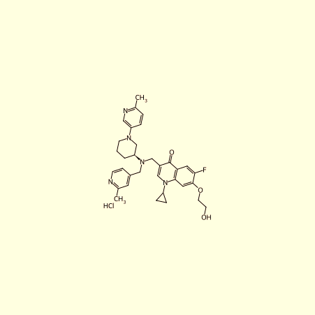 Cc1ccc(N2CCC[C@H](N(Cc3ccnc(C)c3)Cc3cn(C4CC4)c4cc(OCCO)c(F)cc4c3=O)C2)cn1.Cl